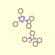 O=P1(c2ccccc2)N(c2ccccc2)c2ccc(-c3ccc4c(c3)c3ccccc3n4-c3nc(-c4ccccc4)nc(-c4ccccc4)n3)cc2N1c1ccccc1